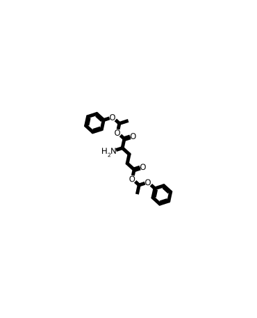 CC(OC(=O)CCC(N)C(=O)OC(C)Oc1ccccc1)Oc1ccccc1